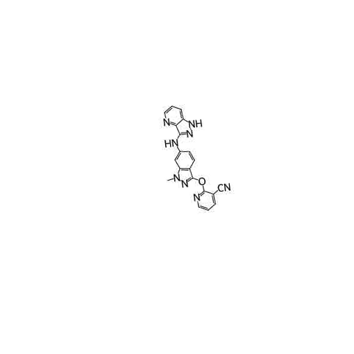 Cn1nc(Oc2ncccc2C#N)c2ccc(Nc3n[nH]c4cccnc34)cc21